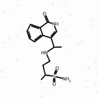 CC(NCCC(C)S(N)(=O)=O)c1c[nH]c(=O)c2ccccc12